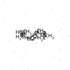 C=C(C)C(=O)OCCC(C)Oc1ccc2ccc(OCCC(C)C=C(C)C(=O)O)cc2c1